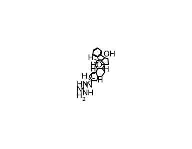 C[C@]12CC/C(=N\NC(=N)N)C[C@H]1CC[C@@H]1[C@@H]2CC[C@]2(C)[C@@](O)(c3ccccc3)CC[C@]12O